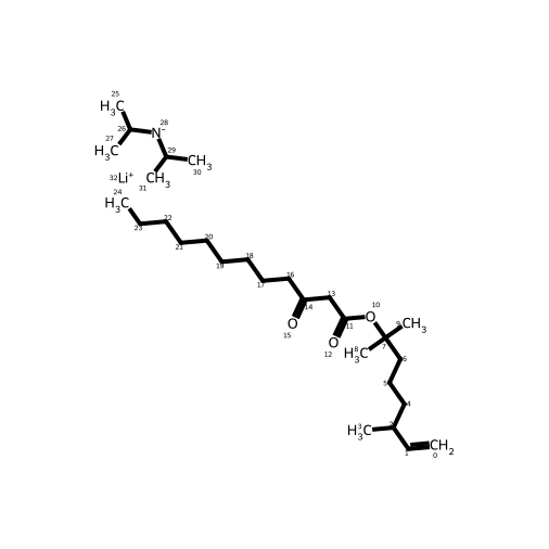 C=CC(C)CCCC(C)(C)OC(=O)CC(=O)CCCCCCCCC.CC(C)[N-]C(C)C.[Li+]